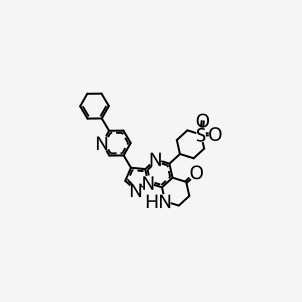 O=C1CCNc2c1c(C1CCS(=O)(=O)CC1)nc1c(-c3ccc(C4=CCCC=C4)nc3)cnn21